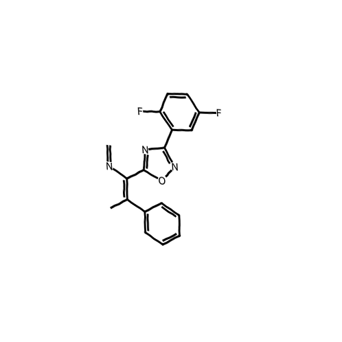 C=N/C(=C(\C)c1ccccc1)c1nc(-c2cc(F)ccc2F)no1